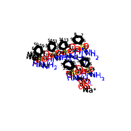 NNS(=O)(=O)c1ccccc1Oc1ccccc1S(=O)(=O)NN.NNS(=O)(=O)c1ccccc1Oc1ccccc1S(=O)(=O)NN.NNS(=O)(=O)c1ccccc1Oc1ccccc1S(=O)(=O)NN.O=P([O-])([O-])[O-].[Na+].[Na+].[Na+]